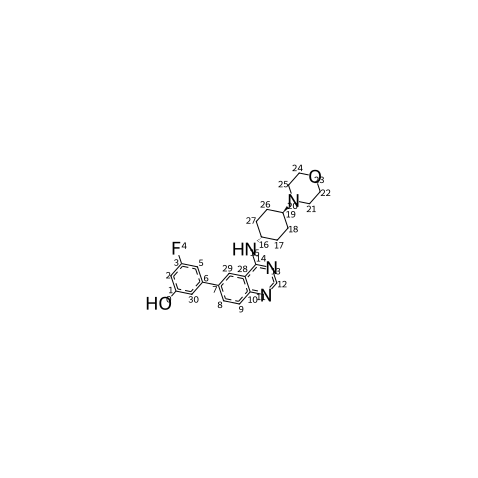 Oc1cc(F)cc(-c2ccc3ncnc(N[C@H]4CC[C@H](N5CCOCC5)CC4)c3c2)c1